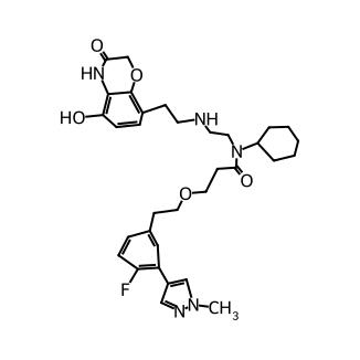 Cn1cc(-c2cc(CCOCCC(=O)N(CCNCCc3ccc(O)c4c3OCC(=O)N4)C3CCCCC3)ccc2F)cn1